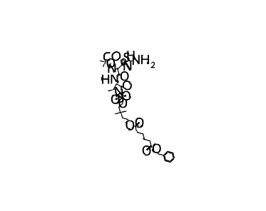 C[C@H]1[C@H](NC(=O)C(=NOC(C)(C)C(=O)O)c2csc(N)n2)C(=O)N1S(=O)(=O)OCC(C)(C)CCOC(=O)CCCCC(=O)OCc1ccccc1